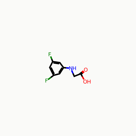 O=C(O)CNc1cc(F)cc(F)c1